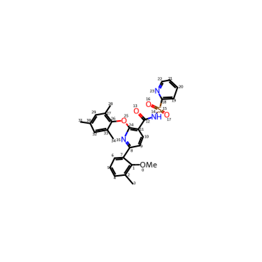 COc1c(C)cccc1-c1ccc(C(=O)NS(=O)(=O)c2ccccn2)c(Oc2c(C)cc(C)cc2C)n1